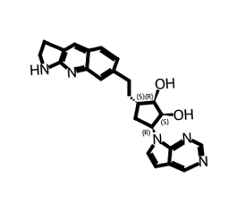 O[C@@H]1[C@@H](CCc2ccc3cc4c(nc3c2)NCC4)C[C@@H](n2ccc3cncnc32)[C@@H]1O